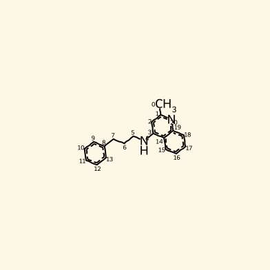 Cc1cc(NCCCc2ccccc2)c2ccccc2n1